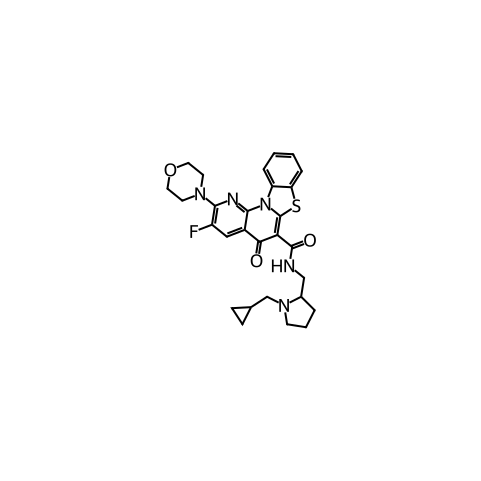 O=C(NCC1CCCN1CC1CC1)c1c(=O)c2cc(F)c(N3CCOCC3)nc2n2c1sc1ccccc12